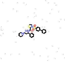 O=C(NC(CCN1CC=CCC1)c1ccccc1)C1SCCN1S(=O)(=O)c1ccc(-c2ccccc2)cc1